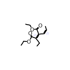 C/C=C\C(C(=O)OCC)=C(/CC)C(=O)OCC